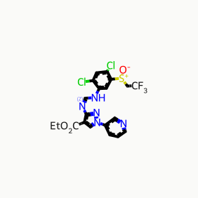 CCOC(=O)c1cn(-c2cccnc2)nc1/N=C\Nc1cc([S+]([O-])CC(F)(F)F)c(Cl)cc1Cl